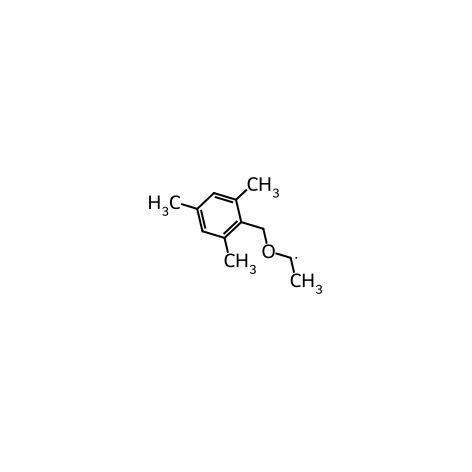 C[CH]OCc1c(C)cc(C)cc1C